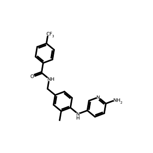 Cc1cc(CNC(=O)c2ccc(C(F)(F)F)cc2)ccc1Nc1ccc(N)nc1